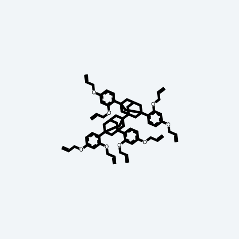 C=CCOc1ccc(C23CC4CC(c5ccc(OCC=C)cc5OCC=C)(C2)CC(C25CC6CC(c7ccc(OCC=C)cc7OCC=C)(CC(c7ccc(OCC=C)cc7OCC=C)(C6)C2)C5)(C4)C3)c(OCC=C)c1